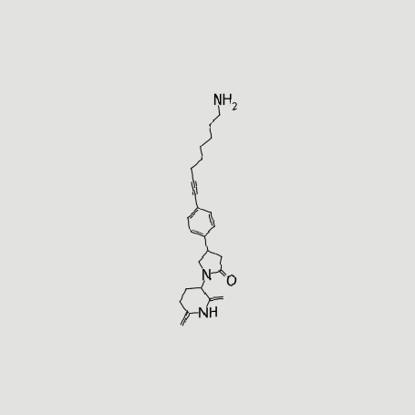 C=C1CCC(N2CC(c3ccc(C#CCCCCCCN)cc3)CC2=O)C(=C)N1